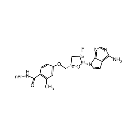 CCCNC(=O)c1ccc(OC[C@@H]2C[C@H](F)[C@H](n3ccc4c(N)ncnc43)O2)cc1C